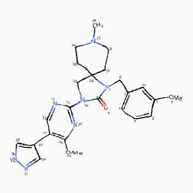 COc1cccc(CN2C(=O)N(c3ncc(-c4cn[nH]c4)c(OC)n3)CC23CCN(C)CC3)c1